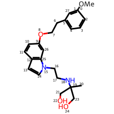 COc1cccc(CCOc2ccc3ccn(CCNC(C)(CO)CO)c3c2)c1